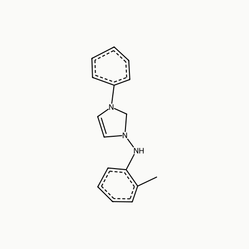 Cc1ccccc1NN1C=CN(c2ccccc2)C1